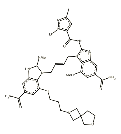 CCn1nc(C)cc1C(=O)Nc1nc2cc(C(N)=O)cc(OC)c2n1C/C=C/CN1c2c(cc(C(N)=O)cc2OCCCN2CC3(CCOC3)C2)NC1NC